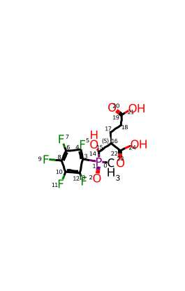 CP(=O)(c1c(F)c(F)c(F)c(F)c1F)C(O)[C@@H](CCC(=O)O)C(=O)O